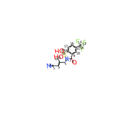 C/C(=C\C#N)CN1C(=O)c2cc(C(F)(F)F)ccc2S1(O)O